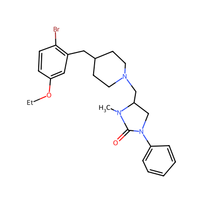 CCOc1ccc(Br)c(CC2CCN(CC3CN(c4ccccc4)C(=O)N3C)CC2)c1